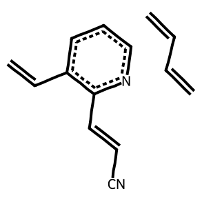 C=CC=C.C=Cc1cccnc1C=CC#N